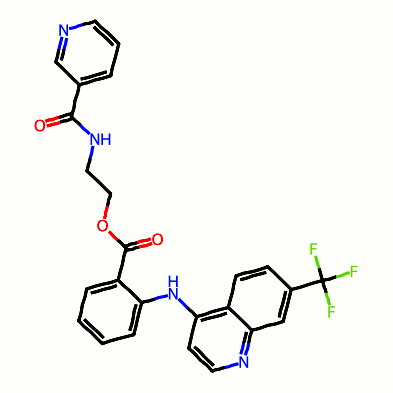 O=C(NCCOC(=O)c1ccccc1Nc1ccnc2cc(C(F)(F)F)ccc12)c1cccnc1